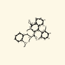 COc1ccccc1CN(C)C(=O)c1c(-c2c(C)cccc2C)c2ccccc2c(=O)n1C